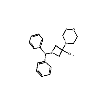 CC1(N2CCOCC2)CN(C(c2ccccc2)c2ccccc2)C1